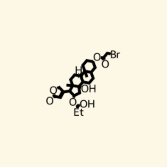 CCC(O)OC1CC2(O)C3CCC4CC(OC(=O)CBr)CCC4(C)[C@H]3CCC2(C)C1C1=CC(=O)OC1